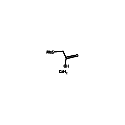 CSCC(=O)O.[CaH2]